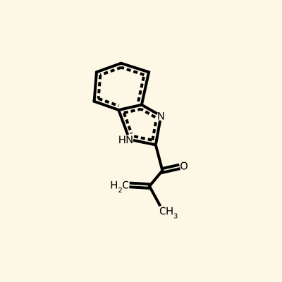 C=C(C)C(=O)c1nc2ccccc2[nH]1